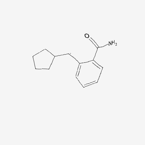 NC(=O)c1ccccc1[CH]C1CCCC1